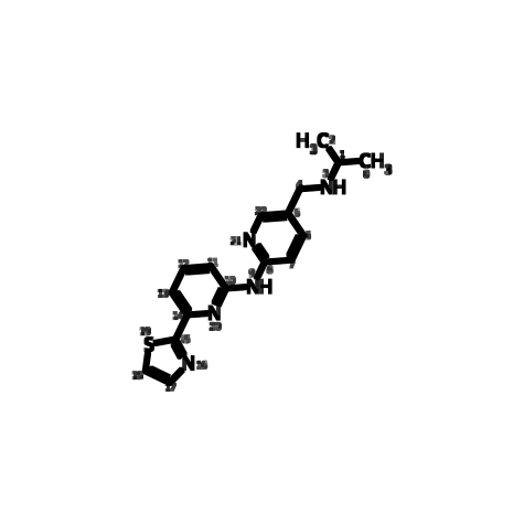 CC(C)NCc1ccc(Nc2cccc(-c3nccs3)n2)nc1